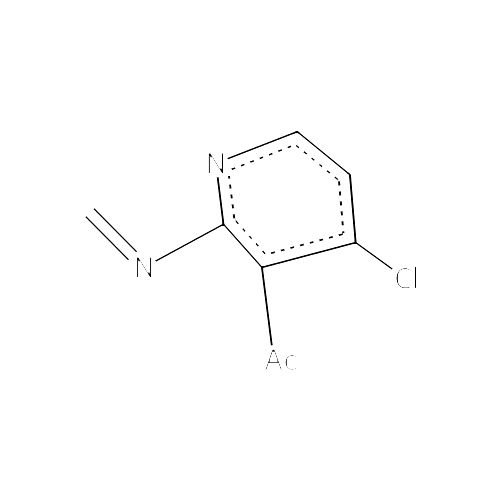 C=Nc1nccc(Cl)c1C(C)=O